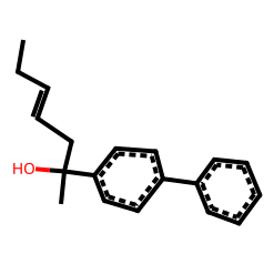 CC/C=C/CC(C)(O)c1ccc(-c2ccccc2)cc1